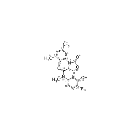 Cc1cc(C(F)(F)F)cc(N2C(=O)OC[C@H]2C(=O)N(C)c2ccc(F)c(O)c2)n1